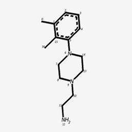 Cc1cccc(N2CCN(CCN)CC2)c1C